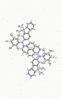 [2H]c1c([2H])c(N(c2ccc3c(c2)C(C)(C)c2cnccc2-3)c2ccc3ccc4c(N(c5ccc6c(c5)C(C)(C)c5cnccc5-6)c5c([2H])c([2H])c(F)c([2H])c5[2H])ccc5ccc2c3c54)c([2H])c([2H])c1F